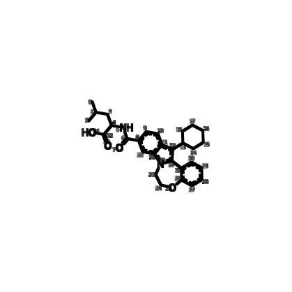 CC(C)CC(NC(=O)c1ccc2c(C3CCCCC3)c3n(c2c1)CCOc1ccccc1-3)C(=O)O